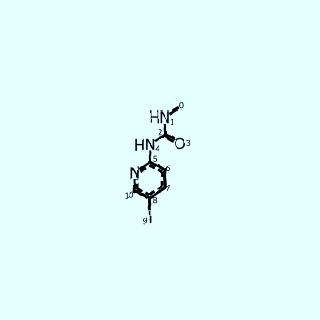 CNC(=O)Nc1ccc(I)cn1